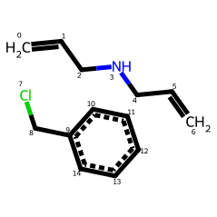 C=CCNCC=C.ClCc1ccccc1